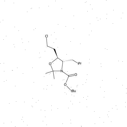 CC(C)C[C@H]1[C@H](CCCl)OC(C)(C)N1C(=O)OC(C)(C)C